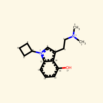 CN(C)CCc1cn(C2CCC2)c2cccc(O)c12